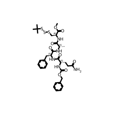 COC(=O)[C@H](CSSSC(C)(C)C)NC(=O)[C@H](C)NC(=O)[C@H](Cc1ccccc1)NC(=O)[C@H](CCC(N)=O)NC(=O)OCc1ccccc1